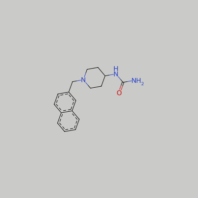 NC(=O)NC1CCN(Cc2ccc3ccccc3c2)CC1